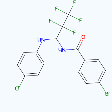 O=C(NC(Nc1ccc(Cl)cc1)C(F)(F)C(F)(F)F)c1ccc(Br)cc1